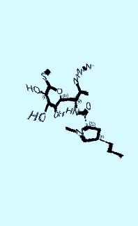 CCC[C@@H]1C[C@@H](C(=O)N[C@H](C(C)N=[N+]=[N-])[C@H]2OC(SC)[C@H](O)C(O)C2O)N(C)C1